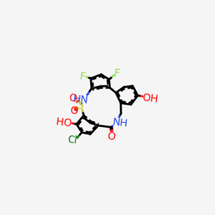 O=C1NCc2cc(O)ccc2-c2cc(c(F)cc2F)NS(=O)(=O)c2cc1cc(Cl)c2O